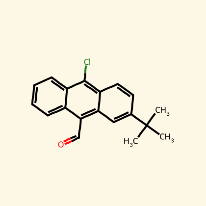 CC(C)(C)c1ccc2c(Cl)c3ccccc3c(C=O)c2c1